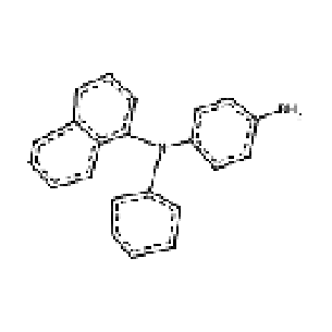 Bc1ccc(N(c2ccccc2)c2cccc3ccccc23)cc1